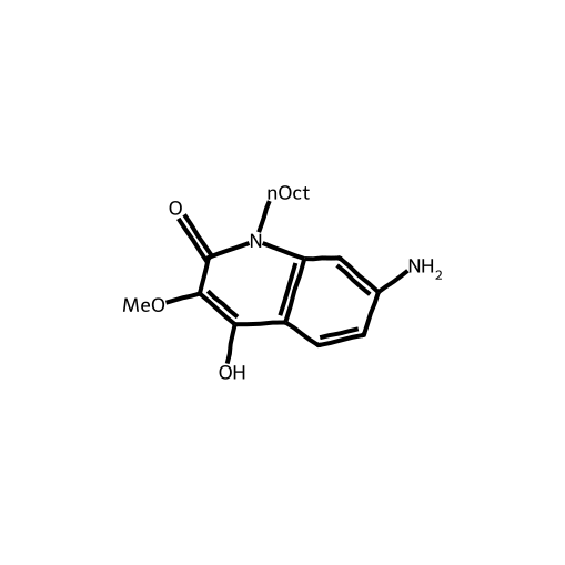 CCCCCCCCn1c(=O)c(OC)c(O)c2ccc(N)cc21